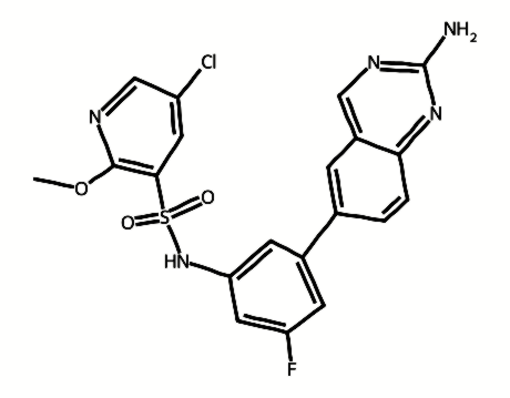 COc1ncc(Cl)cc1S(=O)(=O)Nc1cc(F)cc(-c2ccc3nc(N)ncc3c2)c1